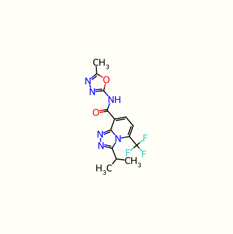 Cc1nnc(NC(=O)c2ccc(C(F)(F)F)n3c(C(C)C)nnc23)o1